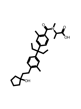 CCC(CC)(c1ccc(CCC2(O)CCCC2)c(C)c1)c1ccc(C(=O)N(C)C(C)C(=O)O)c(C)c1